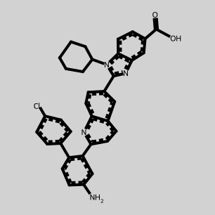 Nc1ccc(-c2ccc(Cl)cc2)c(-c2ccc3cc(-c4nc5cc(C(=O)O)ccc5n4C4CCCCC4)ccc3n2)c1